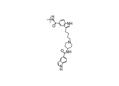 CC(C)(C)NC(=O)c1ccc2[nH]cc(CCCCN3CCC(NC(=O)c4ccc5[nH]ccc5c4)CC3)c2c1